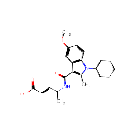 COc1ccc2c(c1)c(C(=O)NC(C)/C=C/C(=O)O)c(C)n2C1CCCCC1